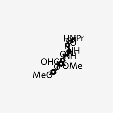 COc1ccc(COc2cc(OC)c3c(c2C=O)CC(C(=O)Nc2cc([C@H]4CC[C@@H](OC(=O)NC(C)C)C4)[nH]n2)C3)cc1